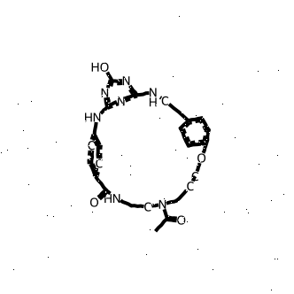 CC(=O)N1CCCOc2ccc(cc2)CNc2nc(O)nc(n2)Nc2ccc(cc2)C(=O)NCC1